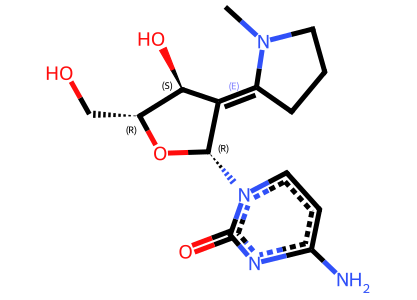 CN1CCC/C1=C1\[C@H](n2ccc(N)nc2=O)O[C@H](CO)[C@H]1O